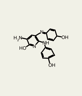 Nc1cc(N=C2C=CC(O)C=C2)c(Nc2ccc(O)cc2)nc1O